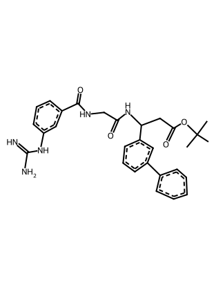 CC(C)(C)OC(=O)CC(NC(=O)CNC(=O)c1cccc(NC(=N)N)c1)c1cccc(-c2ccccc2)c1